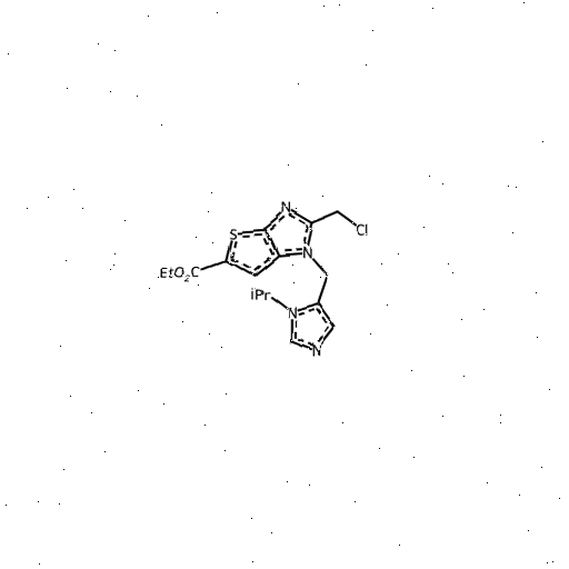 CCOC(=O)c1cc2c(nc(CCl)n2Cc2cncn2C(C)C)s1